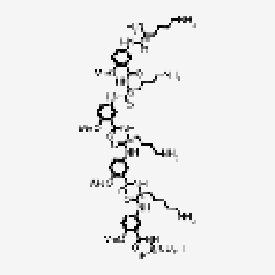 COc1ccc(NC(=O)[C@H](CCCCN)NC(=O)c2cc(NC(=O)[C@@H](N)CCCCN)ccc2OC)cc1C(=O)N[C@@H](CCCCN)C(=O)Nc1ccc(OC)c(C(=O)N[C@@H](CCCCCN)C(=O)Nc2ccc(OC)c(C(=O)N[C@H](C(=O)O)C(C)C)c2)c1